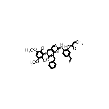 C=CC(=O)Nc1cc(CF)ccc1Nc1ncc2c(n1)N(Cc1ccccc1)C(=O)N(c1c(Cl)c(OC)cc(OC)c1Cl)C2